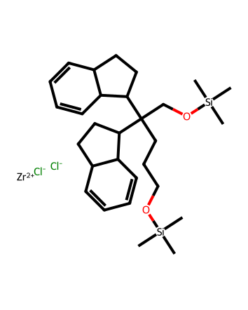 C[Si](C)(C)OCCCC(CO[Si](C)(C)C)(C1CCC2C=CC=CC21)C1CCC2C=CC=CC21.[Cl-].[Cl-].[Zr+2]